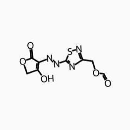 O=COCc1nsc(N=NC2=C(O)COC2=O)n1